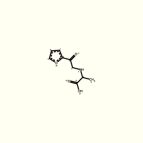 CC(NCC(=O)c1ccco1)C(=O)O